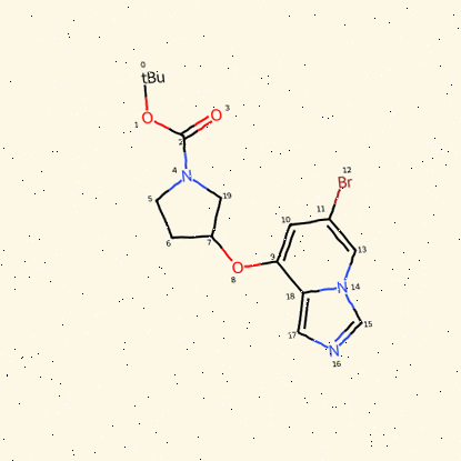 CC(C)(C)OC(=O)N1CCC(Oc2cc(Br)cn3cncc23)C1